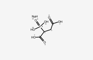 O=C(O)CC(C(=O)O)P(=O)(O)O.[NaH]